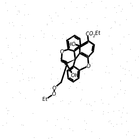 CCOOCc1ccc2c(c1O)[C@]1(c3ccccc3O2)c2ccccc2Oc2ccc(C(=O)OCC)c(O)c21